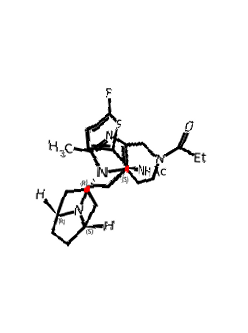 CCC(=O)N1CCc2c(nc(C)n2[C@H]2C[C@H]3CC[C@@H](C2)N3CC[C@H](NC(C)=O)c2ccc(F)s2)C1